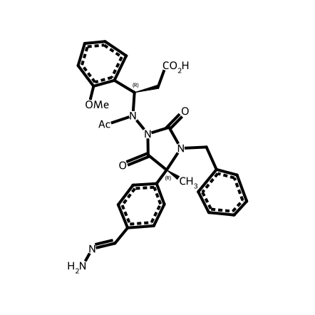 COc1ccccc1[C@@H](CC(=O)O)N(C(C)=O)N1C(=O)N(Cc2ccccc2)[C@](C)(c2ccc(C=NN)cc2)C1=O